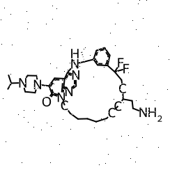 CC(C)N1CCN(c2cc3c4ncnc3n(c2=O)CCCCCCCCC(CCN)CCC(F)(F)c2cccc(c2)[C@@H](C)N4)CC1